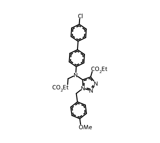 CCOC(=O)CN(c1ccc(-c2ccc(Cl)cc2)cc1)c1c(C(=O)OCC)nnn1Cc1ccc(OC)cc1